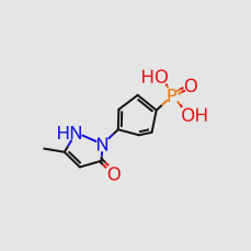 Cc1cc(=O)n(-c2ccc(P(=O)(O)O)cc2)[nH]1